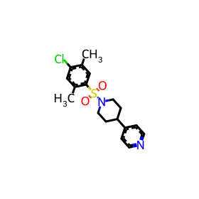 Cc1cc(S(=O)(=O)N2CCC(c3ccncc3)CC2)c(C)cc1Cl